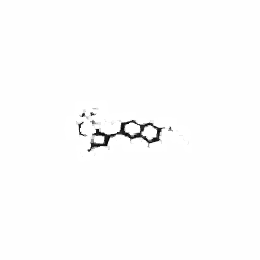 COc1ccc2cc(-c3cc(Cl)n4c3NS(=O)(=O)CC4)ccc2c1